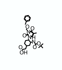 Cc1cn(C2CCC(CC(=O)O)CC2NC(=O)OC(C)(C)C)c(=O)n(COCc2ccccc2)c1=O